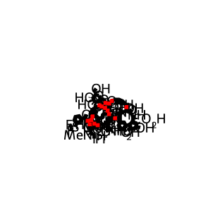 CN[C@H](CC(C)C)C(=O)N[C@H]1C(=O)N[C@@H](CC(N)=O)C(=O)NC2C(=O)N[C@H]3C(=O)N[C@H](C(=O)N[C@@H](C(=O)O)c4cc(O)cc(O)c4-c4cc3ccc4O)[C@H](O)c3ccc(c(Cl)c3)Oc3cc2cc(c3OC2O[C@H](CO)[C@@H](O)[C@H](O)[C@H]2O[C@H]2C[C@](C)(NCCn3ccc(NC(=O)c4cccc(SC(F)F)c4)nc3=O)[C@H](O)[C@H](C)O2)Oc2ccc(cc2Cl)[C@H]1O